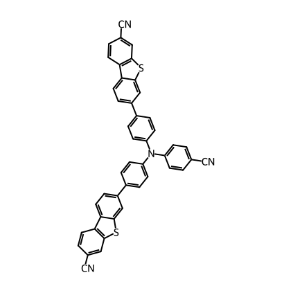 N#Cc1ccc(N(c2ccc(-c3ccc4c(c3)sc3cc(C#N)ccc34)cc2)c2ccc(-c3ccc4c(c3)sc3cc(C#N)ccc34)cc2)cc1